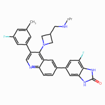 CCCNCC1CN(c2c(-c3cc(C)cc(F)c3)cnc3ccc(-c4cc(F)c5[nH]c(=O)[nH]c5c4)cc23)C1